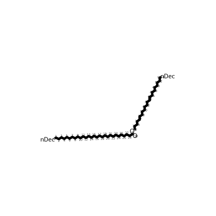 CCCCCCCCCCCCCCCCCCCCCCCCCCCCCCCCCCCCCCC(=O)OCCCCCCCCCCCCCCCCCCCCCCCCCCCCCCCC